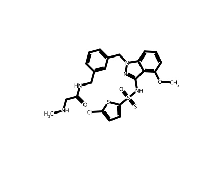 CNCC(=O)NCc1cccc(Cn2nc(NS(=O)(=S)c3ccc(Cl)s3)c3c(OC)cccc32)c1